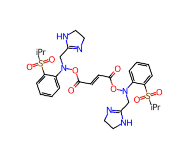 CC(C)S(=O)(=O)c1ccccc1N(CC1=NCCN1)OC(=O)/C=C/C(=O)ON(CC1=NCCN1)c1ccccc1S(=O)(=O)C(C)C